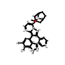 CCN1C2CCC1CC(c1ccnc3c(-c4cc(F)c(Cl)c5[nH]ncc45)c(-c4ccncc4)nn13)C2